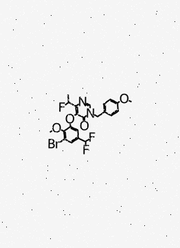 COc1ccc(Cn2cnc(C(C)F)c(Oc3cc(C(F)F)cc(Br)c3OC)c2=O)cc1